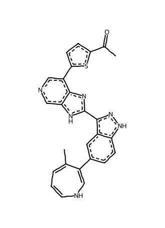 CC(=O)c1ccc(-c2cncc3[nH]c(-c4n[nH]c5ccc(C6=CNC=CC=C6C)cc45)nc23)s1